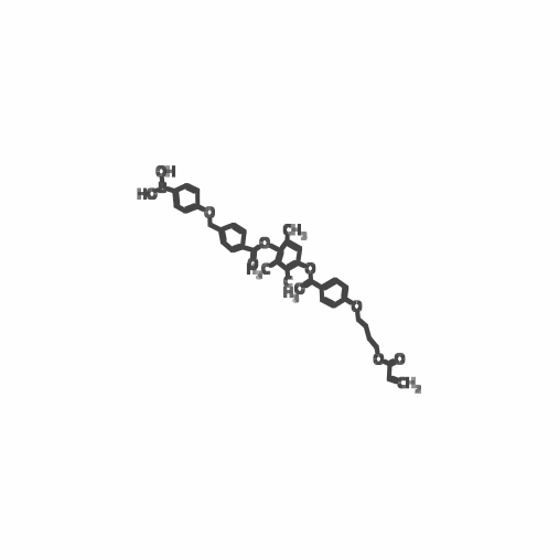 C=CC(=O)OCCCCOc1ccc(C(=O)Oc2cc(C)c(OC(=O)c3ccc(COc4ccc(B(O)O)cc4)cc3)c(C)c2C)cc1